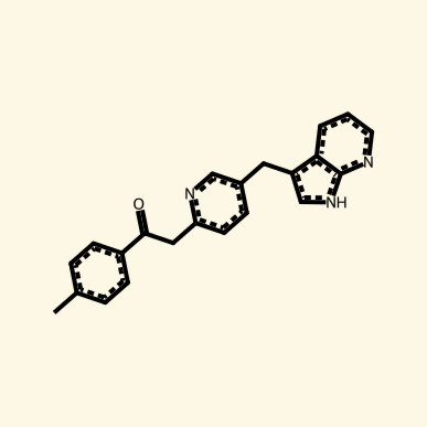 Cc1ccc(C(=O)Cc2ccc(Cc3c[nH]c4ncccc34)cn2)cc1